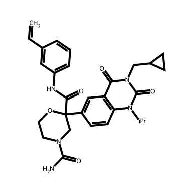 C=Cc1cccc(NC(=O)C2(c3ccc4c(c3)c(=O)n(CC3CC3)c(=O)n4C(C)C)CN(C(N)=O)CCO2)c1